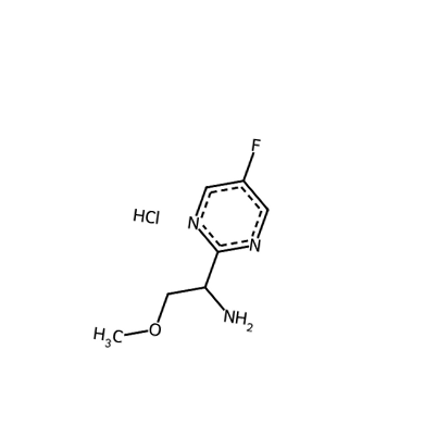 COCC(N)c1ncc(F)cn1.Cl